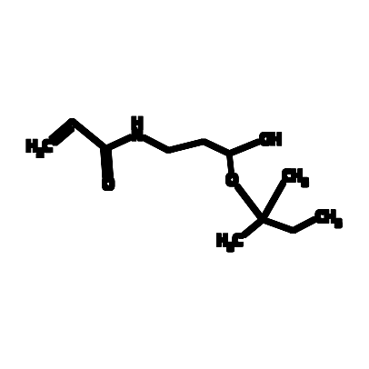 C=CC(=O)NCCC(O)OC(C)(C)CC